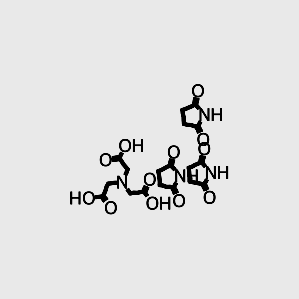 O=C(O)CN(CC(=O)O)CC(=O)O.O=C1CCC(=O)N1.O=C1CCC(=O)N1.O=C1CCC(=O)N1